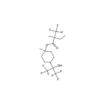 CCC(C)(C(=O)OC1(C)CCC(C(O)(C(F)(F)F)C(F)(F)F)CC1)C(F)(F)F